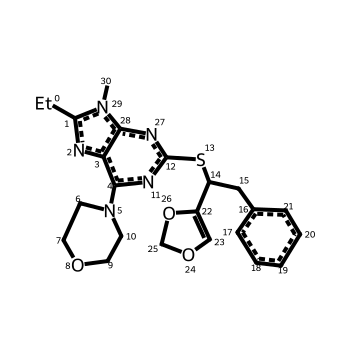 CCc1nc2c(N3CCOCC3)nc(SC(Cc3ccccc3)C3=COCO3)nc2n1C